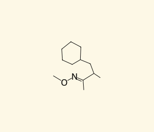 CON=C(C)C(C)CC1CCCCC1